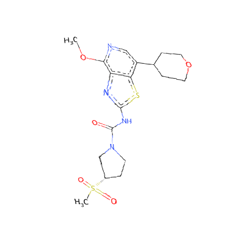 COc1ncc(C2CCOCC2)c2sc(NC(=O)N3CC[C@H](S(C)(=O)=O)C3)nc12